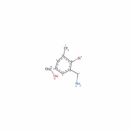 NCc1cccc(C(F)(F)F)c1Br.O=CO